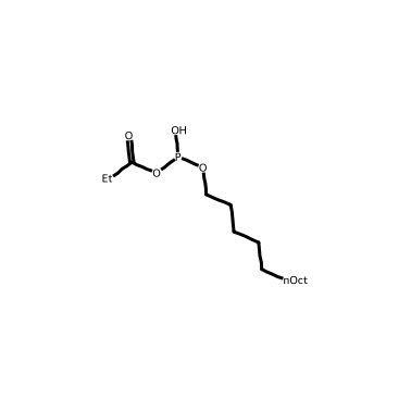 CCCCCCCCCCCCCOP(O)OC(=O)CC